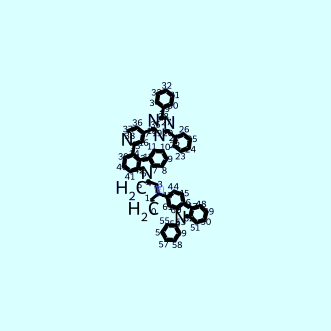 C=C/C(=C\C(=C)n1c2ccccc2c2c(-c3cc(-c4nc(-c5ccccc5)nc(-c5ccccc5)n4)ccn3)cccc21)c1ccc2c3ccccc3n(-c3ccccc3)c2c1